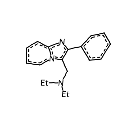 CCN(CC)Cc1c(-c2ccccc2)nc2ccccn12